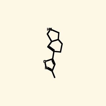 Cc1cc(C2=CC3CNCC3CC2)on1